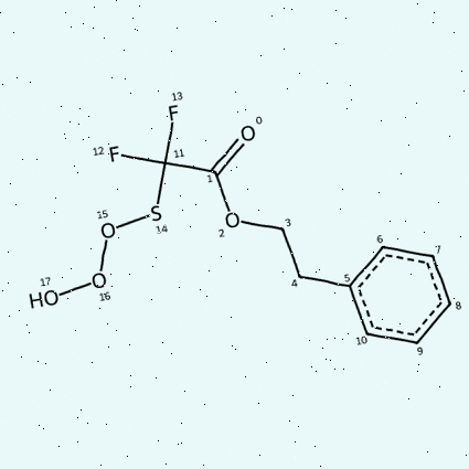 O=C(OCCc1ccccc1)C(F)(F)SOOO